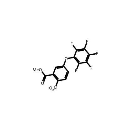 COC(=O)c1cc(Oc2c(F)c(F)c(F)c(F)c2F)ccc1[N+](=O)[O-]